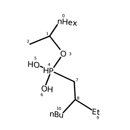 CCCCCCC(C)O[PH](O)(O)CC(CC)CCCC